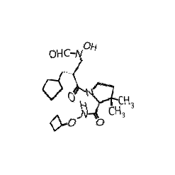 CC1(C)CCN(C(=O)[C@H](CC2CCCC2)CN(O)C=O)[C@@H]1C(=O)NOC1CCC1